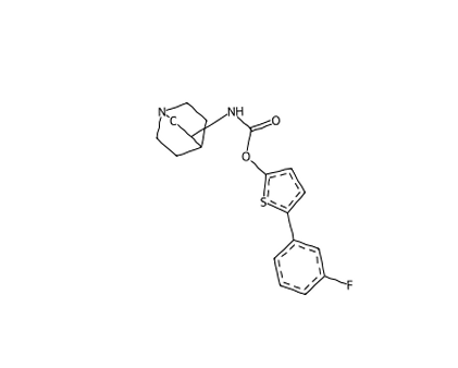 O=C(NC1CN2CCC1CC2)Oc1ccc(-c2cccc(F)c2)s1